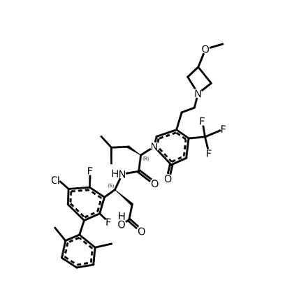 COC1CN(CCc2cn([C@H](CC(C)C)C(=O)N[C@@H](CC(=O)O)c3c(F)c(Cl)cc(-c4c(C)cccc4C)c3F)c(=O)cc2C(F)(F)F)C1